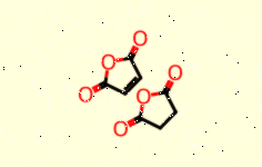 O=C1C=CC(=O)O1.O=C1CCC(=O)O1